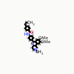 C/C=C\c1ccc(C(=O)Nc2ccc(C3=NC4CCN(C)CC4c4cc(OC)c(OC)cc43)cc2)cc1